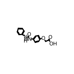 O=C(O)COc1ccc(NC(=O)Nc2ccccc2)cc1